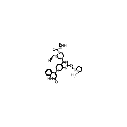 CN1CCC[C@H]1COc1nc2c(c(N3CCN(C(=O)[C@@H]4CN4)[C@@H](CC#N)C3)n1)CCN(c1cc(=O)[nH]c3ccccc13)C2